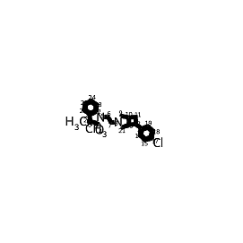 CC1(C)C(=O)N(CCN2CC3CC(c4ccc(Cl)cc4)C3C2)c2ccccc21